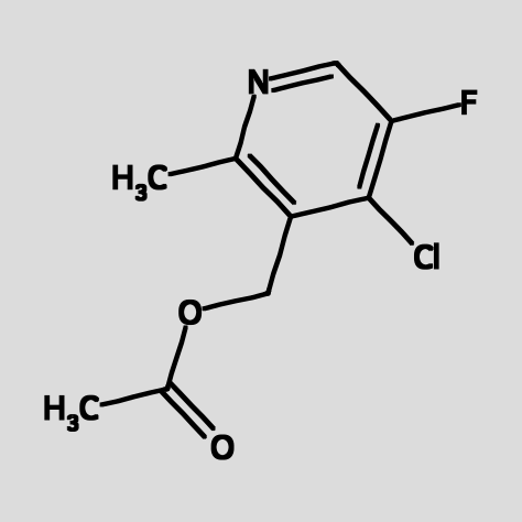 CC(=O)OCc1c(C)ncc(F)c1Cl